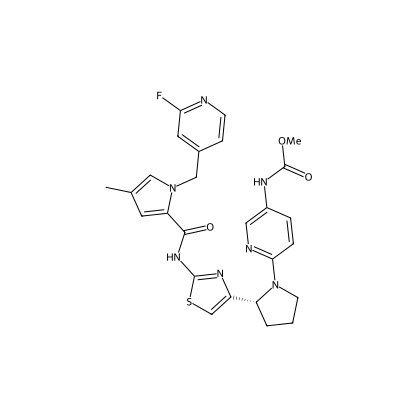 COC(=O)Nc1ccc(N2CCC[C@@H]2c2csc(NC(=O)c3cc(C)cn3Cc3ccnc(F)c3)n2)nc1